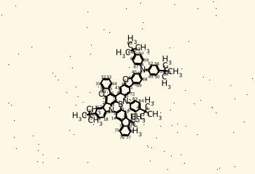 CC(C)(C)c1ccc(N2B3c4cc5c(cc4-n4c6ccc(C(C)(C)C)cc6c6c7oc8ccccc8c7c(c3c64)-c3cc4oc6cc(N(c7ccc(C(C)(C)C)cc7)c7ccc(C(C)(C)C)cc7)ccc6c4cc32)-c2ccccc2C5(C)C)cc1